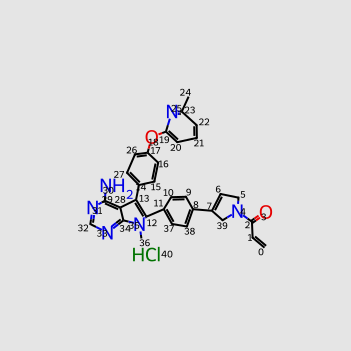 C=CC(=O)N1CC=C(c2ccc(-c3c(-c4ccc(Oc5cccc(C)n5)cc4)c4c(N)ncnc4n3C)cc2)C1.Cl